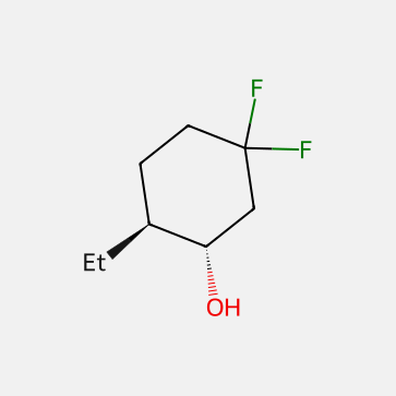 CC[C@H]1CCC(F)(F)C[C@@H]1O